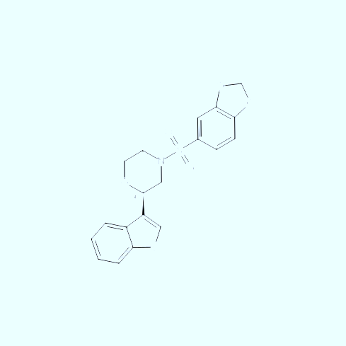 O=S(=O)(c1ccc2c(c1)OCO2)N1CCO[C@H](c2csc3ccccc23)C1